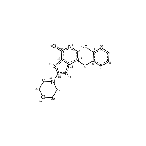 O=c1ncn(Cc2ccccc2F)c2nc(N3CCOCC3)sc12